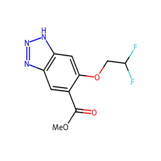 COC(=O)c1cc2nn[nH]c2cc1OCC(F)F